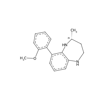 COc1ccccc1-c1cccc2c1N[C@H](C)CCN2